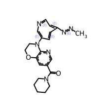 C/N=N/C1=C\C=N/C=C(N2CCOc3cc(C(=O)N4CCCCC4)cnc32)\C=C\1